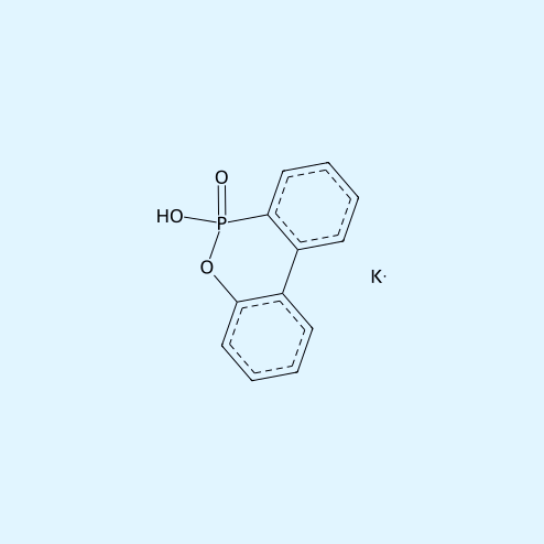 O=P1(O)Oc2ccccc2-c2ccccc21.[K]